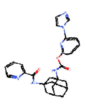 O=C(NC12CC3CC(C1)CC(NC(=O)c1ccccn1)(C3)C2)Oc1cccc(-n2ccnc2)n1